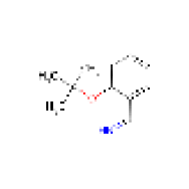 CC(C)(C)Oc1ccccc1C=N